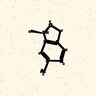 CC(=O)c1cc2c(cn1)CO[C@H]2C